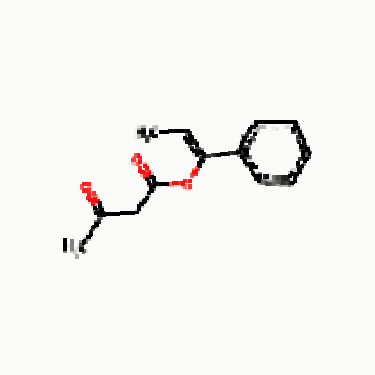 CC=C(OC(=O)CC(C)=O)c1ccccc1